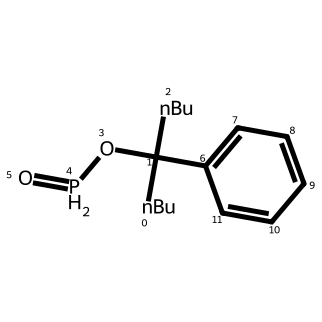 CCCCC(CCCC)(O[PH2]=O)c1ccccc1